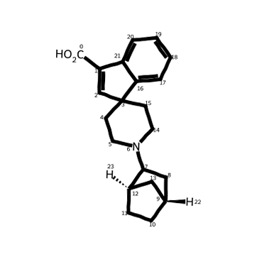 O=C(O)C1=CC2(CCN(C3C[C@@H]4CC[C@@H]3C4)CC2)c2ccccc21